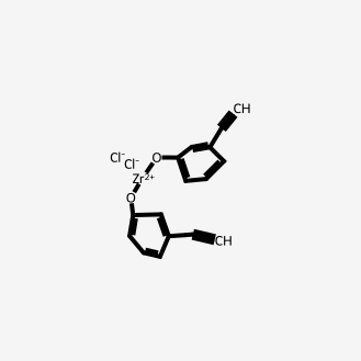 C#Cc1cccc([O][Zr+2][O]c2cccc(C#C)c2)c1.[Cl-].[Cl-]